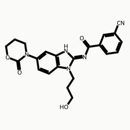 N#Cc1cccc(C(=O)/N=c2\[nH]c3cc(N4CCCOC4=O)ccc3n2CCCO)c1